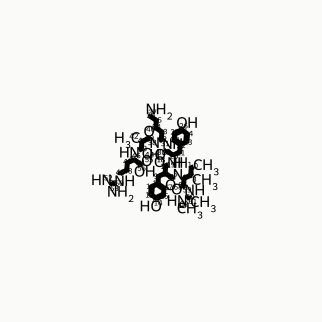 CCC(C)C(NC(=O)C(Cc1ccc(O)cc1)C(=O)NC(Cc1ccc(O)cc1)C(=O)NC(CCCCN)NC(=O)C(C)C(=O)NC(CCCNC(=N)N)C(=O)O)C(=O)NC(C)NC